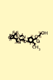 CCc1cc(Oc2nccn3c(-c4conc4C(F)(F)F)cnc23)ccc1C(=O)OCCO